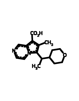 Cc1c(C(=O)O)c2cnccn2c1C(C)C1CCOCC1